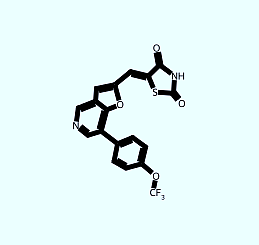 O=C1NC(=O)C(=Cc2cc3cncc(-c4ccc(OC(F)(F)F)cc4)c3o2)S1